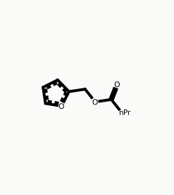 CCCC(=O)OCc1ccco1